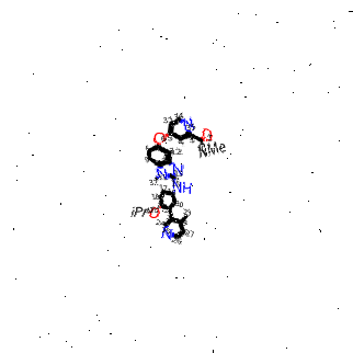 CNC(=O)c1cc(Oc2ccc3c(c2)nc(Nc2ccc(OC(C)C)c(-c4cnccc4C)c2)n3C)ccn1